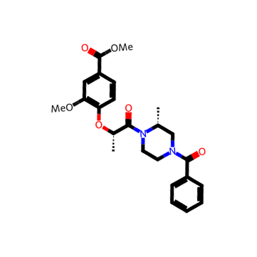 COC(=O)c1ccc(O[C@@H](C)C(=O)N2CCN(C(=O)c3ccccc3)C[C@H]2C)c(OC)c1